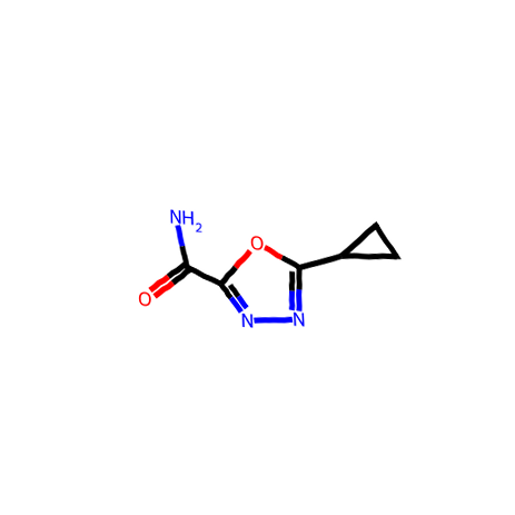 NC(=O)c1nnc(C2CC2)o1